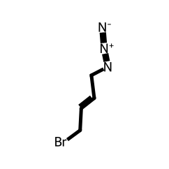 [N-]=[N+]=NC/C=C/CBr